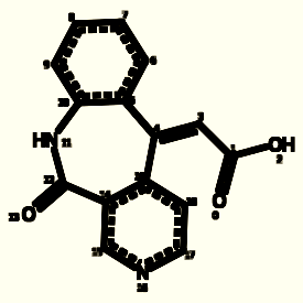 O=C(O)C=C1c2ccccc2NC(=O)c2cnccc21